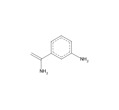 C=C(N)c1cccc(N)c1